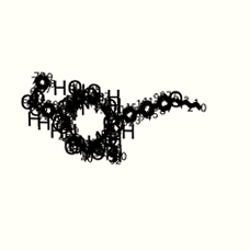 CCCCCOc1ccc(-c2ccc(-c3ccc(C(=O)NC4C[C@@H](O)[C@@H](OCC[Si](C)(C)C)NC(=O)[C@@H]5[C@@H](O)[C@@H](C)CN5C(=O)[C@H]([C@@H](C)O)NC(=O)[C@H]([C@H](O)[C@@H](O)c5ccc(O[PH](=O)OCc6ccccc6)cc5)NC(=O)[C@@H]5C[C@@H](O)CN5C(=O)[C@H]([C@@H](C)O)NC4=O)cc3)cc2)cc1